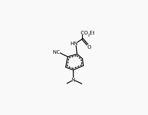 CCOC(=O)C(=O)Nc1ccc(N(C)C)cc1C#N